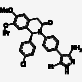 CCc1[nH]nc(N)c1-c1ccc(N2C(=O)Cc3cc(OC)c(OC(C)C)cc3[C@@H]2c2ccc(Cl)cc2)cc1